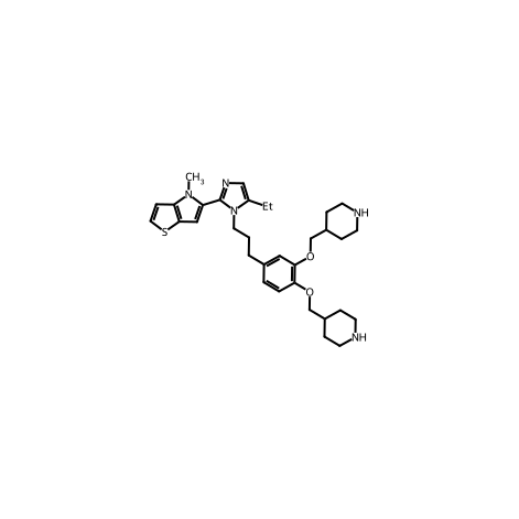 CCc1cnc(-c2cc3sccc3n2C)n1CCCc1ccc(OCC2CCNCC2)c(OCC2CCNCC2)c1